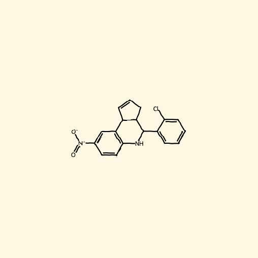 O=[N+]([O-])c1ccc2c(c1)C1C=CCC1C(c1ccccc1Cl)N2